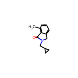 Cc1cccc2c1C(=O)N(CC1CC1)C2